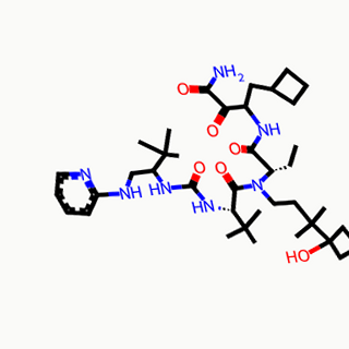 CC[C@@H](C(=O)NC(CC1CCC1)C(=O)C(N)=O)N(CCC(C)(C)C1(O)CCC1)C(=O)[C@@H](NC(=O)NC(CNc1ccccn1)C(C)(C)C)C(C)(C)C